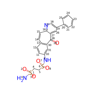 NS(=O)(=O)CCS(=O)(=O)Nc1ccc2ccc3ncc(-c4ccccc4)cc3c(=O)c2c1